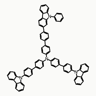 c1ccc(-n2c3ccccc3c3ccc(-c4ccc(-c5ccc(N(c6ccc(-c7ccc(-n8c9ccccc9c9ccccc98)cc7)cc6)c6ccc(-c7ccc(-n8c9ccccc9c9ccccc98)cc7)cc6)cc5)cc4)cc32)cc1